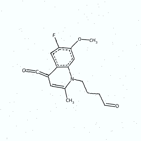 COc1cc2c(cc1F)C(=C=O)C=C(C)N2CCCC=O